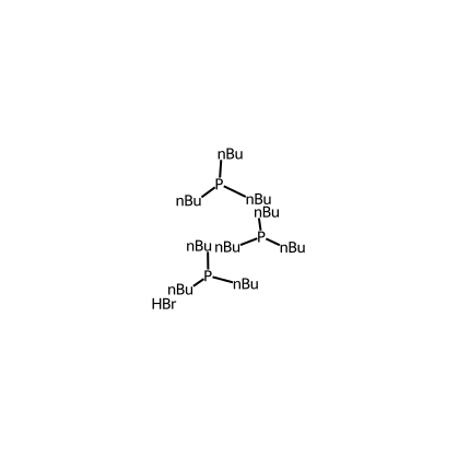 Br.CCCCP(CCCC)CCCC.CCCCP(CCCC)CCCC.CCCCP(CCCC)CCCC